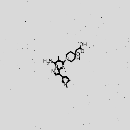 Cc1c(N2CCC(O)(CC(=O)O)CC2)nc2c(-c3ccn(C)c3)cnn2c1N